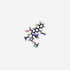 Cc1csnc1COC1CC(c2cc3c(C(C)O)nc4c(F)c(-c5cccc(Cl)c5Cl)c(CCC#N)cc4c3n2C2C3CNC2C3)N(C(=O)C2CC2)C1